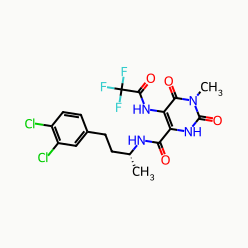 C[C@H](CCc1ccc(Cl)c(Cl)c1)NC(=O)c1[nH]c(=O)n(C)c(=O)c1NC(=O)C(F)(F)F